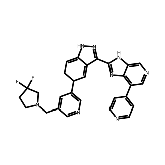 FC1(F)CCN(Cc2cncc(C3C=c4c(-c5nc6c(-c7ccncc7)cncc6[nH]5)n[nH]c4=CC3)c2)C1